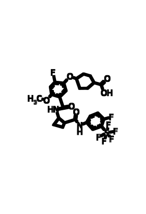 COc1cc(F)c(OC2CCC(C(=O)O)CC2)cc1C(=O)NC1CCC1C(=O)Nc1ccc(F)c(S(F)(F)(F)(F)F)c1